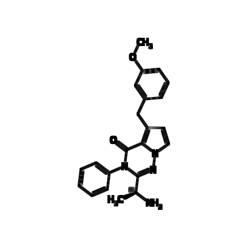 COc1cccc(Cc2ccn3nc([C@H](C)N)n(-c4ccccc4)c(=O)c23)c1